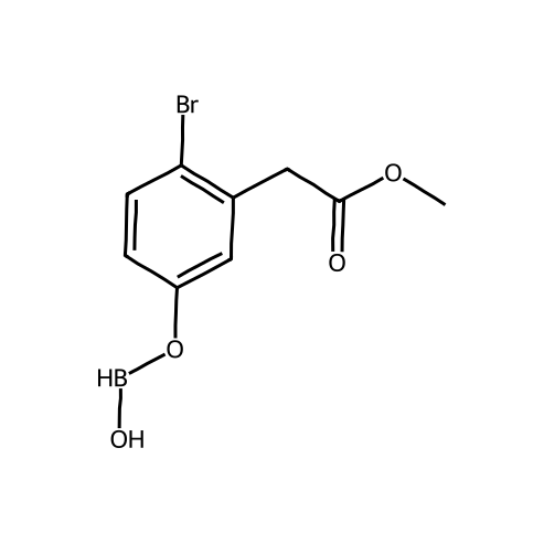 COC(=O)Cc1cc(OBO)ccc1Br